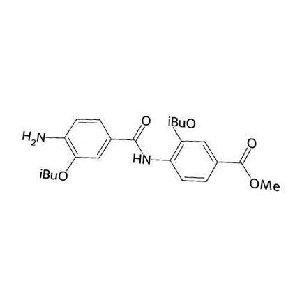 COC(=O)c1ccc(NC(=O)c2ccc(N)c(OCC(C)C)c2)c(OCC(C)C)c1